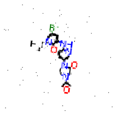 Cn1cc(Br)cc(Nc2ccc(N3CCN(C4COC4)CC3=O)cn2)c1=O